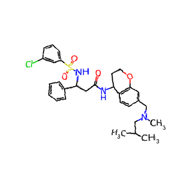 CC(C)CN(C)Cc1ccc2c(c1)OCCC2NC(=O)CC(NS(=O)(=O)c1cccc(Cl)c1)c1ccccc1